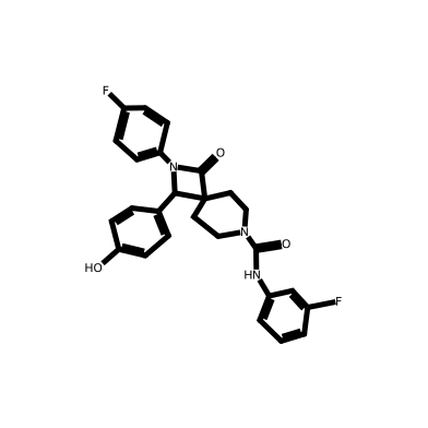 O=C(Nc1cccc(F)c1)N1CCC2(CC1)C(=O)N(c1ccc(F)cc1)C2c1ccc(O)cc1